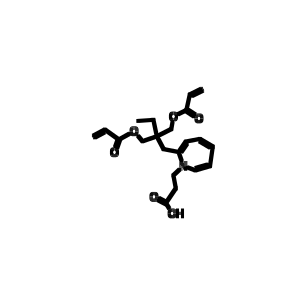 C=CC(=O)OCC(CC)(COC(=O)C=C)CC1=CC=CC=CN1CCC(=O)O